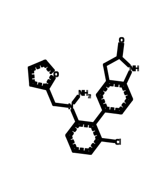 NN(Cc1ccco1)c1cccc(Cl)c1-c1ccc2c(c1)CC(=O)N2